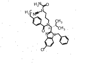 CCc1ccc(C(=O)N(CCCN(C#N)C(N)=O)[C@@H](c2nc3cc(Cl)ccc3n2Cc2ccccc2)C(C)C)cc1